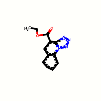 CCOC(=O)c1cc2ccccc2n2nnnc12